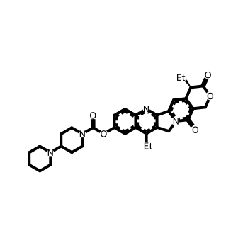 CCc1c2c(nc3ccc(OC(=O)N4CCC(N5CCCCC5)CC4)cc13)-c1cc3c(c(=O)n1C2)COC(=O)[C@@H]3CC